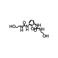 O=C(NCCO)Nc1cccc(NC(=O)NCCO)c1O